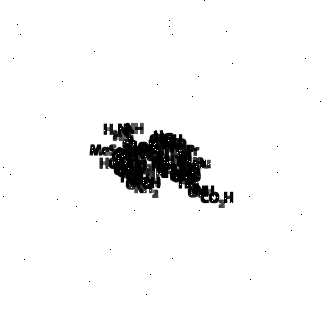 CC[C@H](C)[C@H](NC(=O)[C@H](CCCNC(=N)N)NC(=O)[C@@H](NC(=O)[C@H](CO)NC(=O)[C@H](CCC(N)=O)NC(=O)[C@H](CC(=O)O)NC(=O)CNC(=O)[C@H](CCCNC(=N)N)NC(=O)[C@H](CCSC)NC(=O)[C@@H](NC(=O)[C@H](C)NC(=O)[C@H](C)NC(=O)[C@@H](N)CO)[C@@H](C)O)C(C)C)C(=O)N[C@@H](Cc1ccccc1)C(=O)NCC(=O)NCC(=O)O